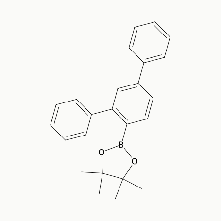 CC1(C)OB(c2ccc(-c3ccccc3)cc2-c2ccccc2)OC1(C)C